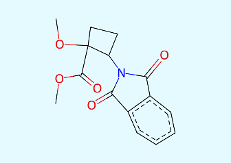 COC(=O)C1(OC)CCC1N1C(=O)c2ccccc2C1=O